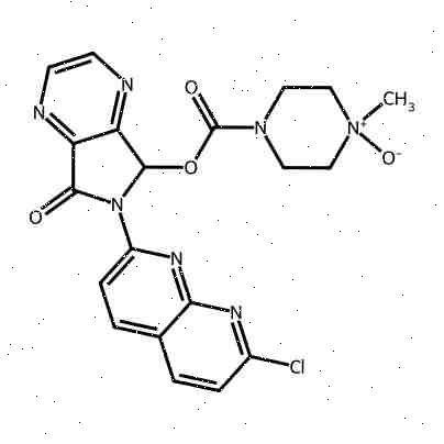 C[N+]1([O-])CCN(C(=O)OC2c3nccnc3C(=O)N2c2ccc3ccc(Cl)nc3n2)CC1